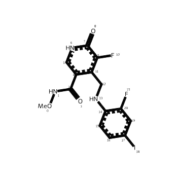 CONC(=O)c1c[nH]c(=O)c(F)c1CNc1ccc(I)cc1F